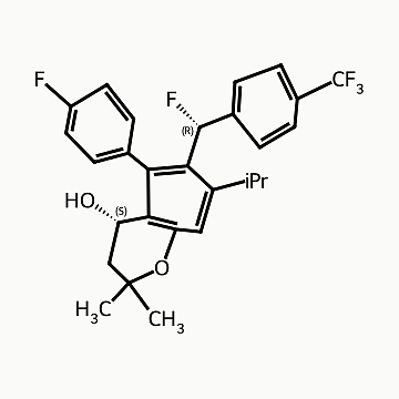 CC(C)c1cc2c(c(-c3ccc(F)cc3)c1[C@H](F)c1ccc(C(F)(F)F)cc1)[C@@H](O)CC(C)(C)O2